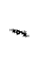 CC(C)(O)C[C@@H]1CC=C(CCC(Br)C(C)(C)O)CC1